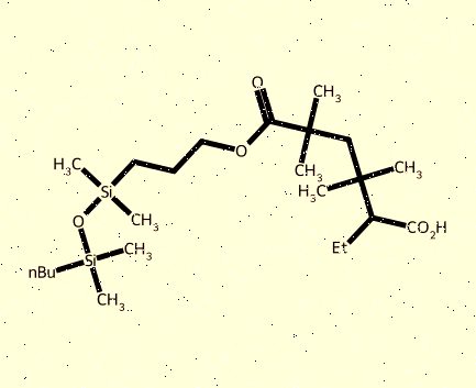 CCCC[Si](C)(C)O[Si](C)(C)CCCOC(=O)C(C)(C)CC(C)(C)C(CC)C(=O)O